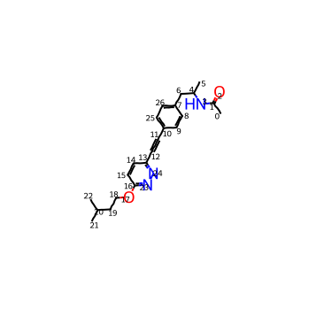 CC(=O)NC(C)Cc1ccc(C#Cc2ccc(OCCC(C)C)nn2)cc1